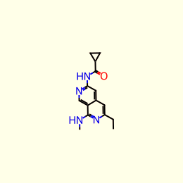 CCc1cc2cc(NC(=O)C3CC3)ncc2c(NC)n1